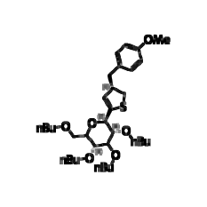 CCCCOCC1O[C@@H](C2=C[C@@H](Cc3ccc(OC)cc3)CS2)[C@H](OCCCC)C(OCCCC)[C@@H]1OCCCC